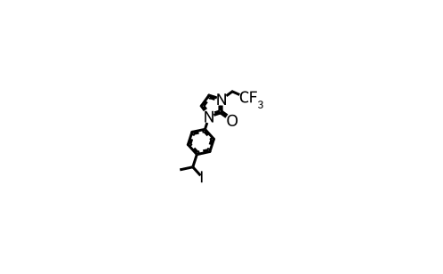 CC(I)c1ccc(-n2ccn(CC(F)(F)F)c2=O)cc1